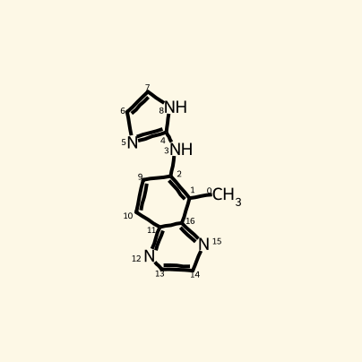 Cc1c(Nc2ncc[nH]2)ccc2nccnc12